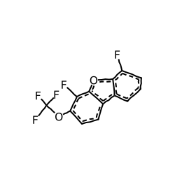 Fc1cccc2c1oc1c(F)c(OC(F)(F)F)ccc12